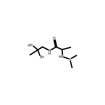 CCCC(C)(CNC(=O)C(C)NN(C)C)C(C)C